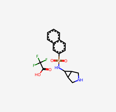 O=C(O)C(F)(F)F.O=S(=O)(NC1C2CNCC21)c1ccc2ccccc2c1